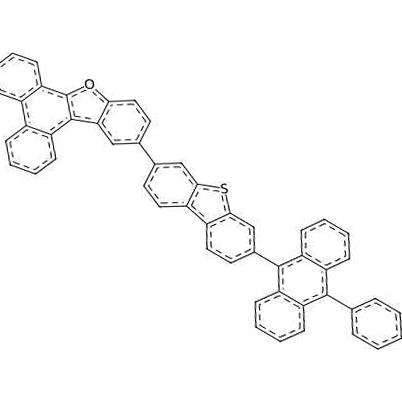 c1ccc(-c2c3ccccc3c(-c3ccc4c(c3)sc3cc(-c5ccc6oc7c8ccccc8c8ccccc8c7c6c5)ccc34)c3ccccc23)cc1